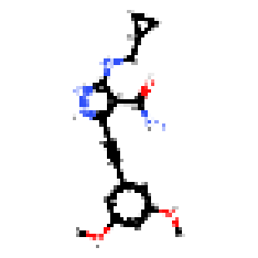 COc1cc(C#Cc2n[nH]c(NCC3CC3)c2C(N)=O)cc(OC)c1